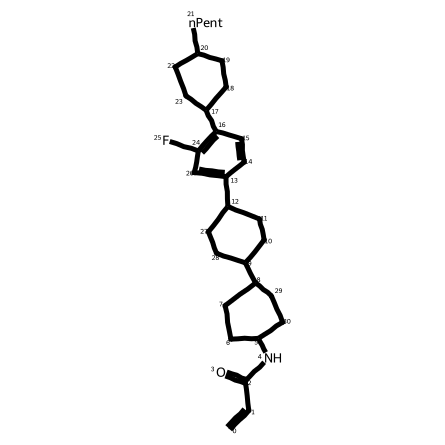 C=CC(=O)NC1CCC(C2CCC(c3ccc(C4CCC(CCCCC)CC4)c(F)c3)CC2)CC1